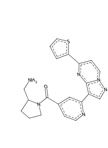 NCC1CCCN1C(=O)c1ccnc(-c2cnn3ccc(-c4cccs4)nc23)c1